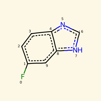 Fc1ccc2n[c][nH]c2c1